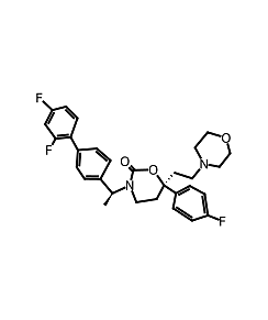 C[C@@H](c1ccc(-c2ccc(F)cc2F)cc1)N1CC[C@](CCN2CCOCC2)(c2ccc(F)cc2)OC1=O